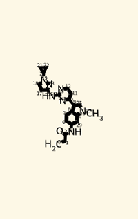 C=CC(=O)Nc1ccc2c(-c3ccnc(Nc4ccn(C5CC5)n4)n3)cn(C)c2c1